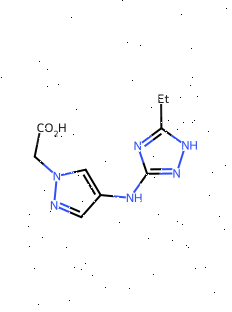 CCc1nc(Nc2cnn(CC(=O)O)c2)n[nH]1